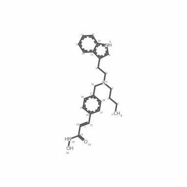 CCCCN(CCc1c[nH]c2ccccc12)Cc1ccc(/C=C/C(=O)NO)cc1